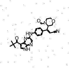 CC(C)(C)C(=O)c1c[nH]c2ncc(Nc3ccc(C(=CC#N)C4COCCN4C=O)cc3)nc12